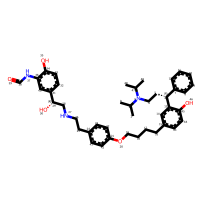 CC(C)N(CC[C@H](c1ccccc1)c1cc(CCCCOc2ccc(CCNC[C@H](O)c3ccc(O)c(NC=O)c3)cc2)ccc1O)C(C)C